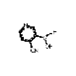 N#Cc1ccncc1B(O)O